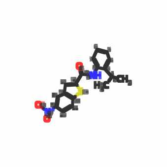 CC(C)c1ccccc1NC(=O)c1cc2cc([N+](=O)[O-])ccc2s1